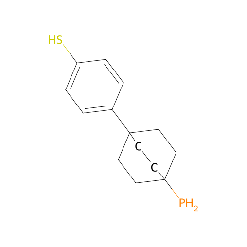 PC12CCC(c3ccc(S)cc3)(CC1)CC2